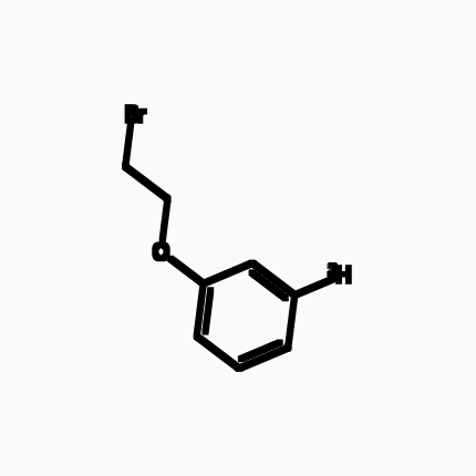 [2H]c1cccc(OCCBr)c1